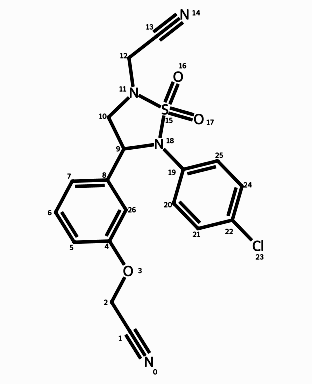 N#CCOc1cccc(C2CN(CC#N)S(=O)(=O)N2c2ccc(Cl)cc2)c1